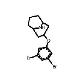 Brc1cc(Br)cc(OC2CC3CCCC(C2)N3)c1